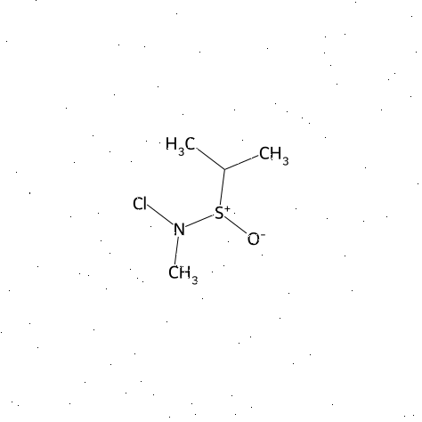 CC(C)[S+]([O-])N(C)Cl